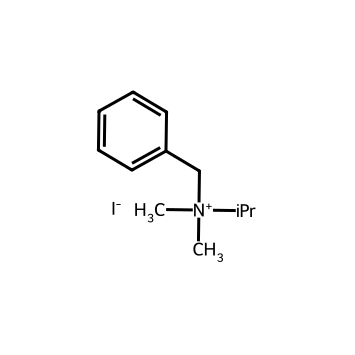 CC(C)[N+](C)(C)Cc1ccccc1.[I-]